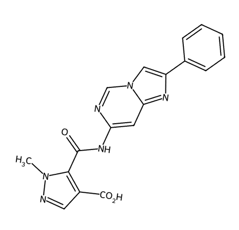 Cn1ncc(C(=O)O)c1C(=O)Nc1cc2nc(-c3ccccc3)cn2cn1